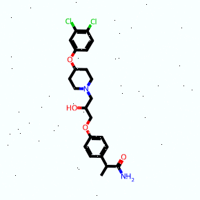 CC(C(N)=O)c1ccc(OCC(O)CN2CCC(Oc3ccc(Cl)c(Cl)c3)CC2)cc1